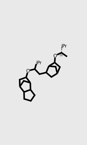 CC(C)C(CC1CC2CC(O[C@@H](C)C(C)C)C1C2)OC1CC2CC1C1CCCC21